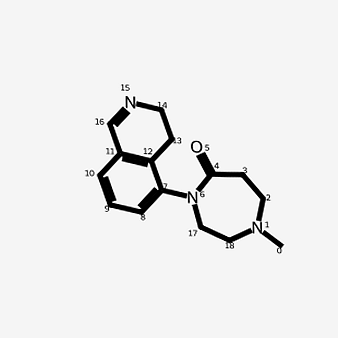 CN1CCC(=O)N(c2cccc3c2CCN=C3)CC1